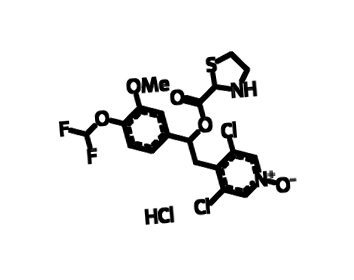 COc1cc(C(Cc2c(Cl)c[n+]([O-])cc2Cl)OC(=O)C2NCCS2)ccc1OC(F)F.Cl